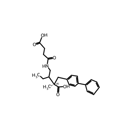 CCC(CNC(=O)CCC(=O)O)[C@@](C)(Cc1ccc(-c2ccccc2)cc1)C(=O)O